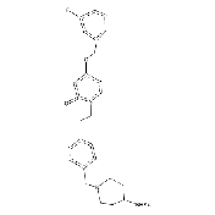 CC(=O)NC1CCN(Cc2ccc(CCn3ccc(OCc4cccc(F)c4)cc3=O)cc2)CC1